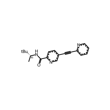 C[C@@H](NC(=O)c1ccc(C#Cc2ccccn2)cn1)C(C)(C)C